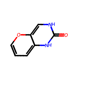 O=C1NC=C2OC=CC=C2N1